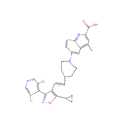 Cc1cc(C(=O)O)nc2ccc(N3CCC(/C=C/c4c(-c5c(Cl)cncc5Cl)noc4C4CC4)CC3)cc12